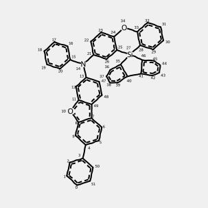 c1ccc(-c2ccc3c(c2)oc2cc(N(c4ccccc4)c4ccc5c(c4)[Si]4(c6ccccc6O5)c5ccccc5-c5ccccc54)ccc23)cc1